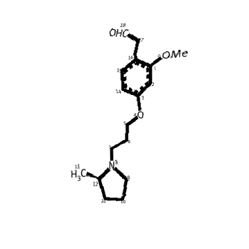 COc1cc(OCCCN2CCC[C@H]2C)ccc1CC=O